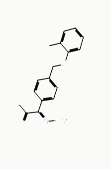 CO/N=C(/C(=O)Cl)c1ccc(COc2ccccc2C)cc1